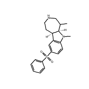 CC1CNCC[C@@H]2c3cc(S(=O)(=O)c4ccccc4)ccc3N(C)[C@H]12